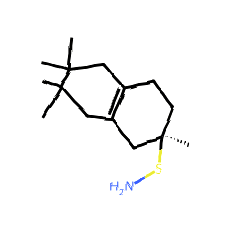 CC1(C)CC2=C(CC1(C)C)C[C@](C)(SN)CC2